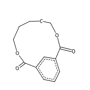 O=C1OCCCCCOC(=O)c2cccc1c2